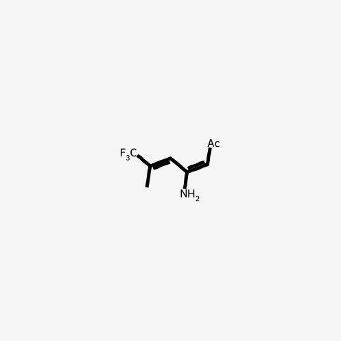 CC(=O)/C=C(N)\C=C(/C)C(F)(F)F